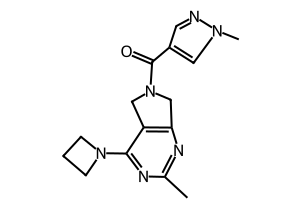 Cc1nc2c(c(N3CCC3)n1)CN(C(=O)c1cnn(C)c1)C2